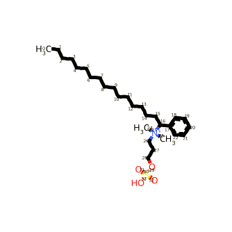 CCCCCCCCCCCCCCCCC(c1ccccc1)[N+](C)(C)CCCOS(=O)(=O)O